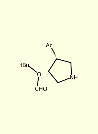 CC(=O)[C@H]1CCNC1.CC(C)(C)OC=O